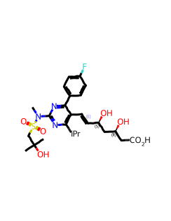 CC(C)c1nc(N(C)S(=O)(=O)CC(C)(C)O)nc(-c2ccc(F)cc2)c1/C=C/[C@@H](O)C[C@@H](O)CC(=O)O